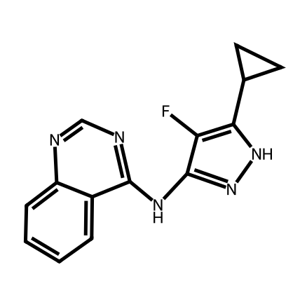 Fc1c(Nc2ncnc3ccccc23)n[nH]c1C1CC1